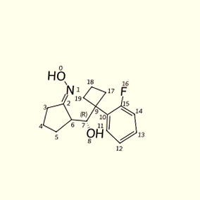 ON=C1CCCC1[C@@H](O)C1(c2ccccc2F)CCC1